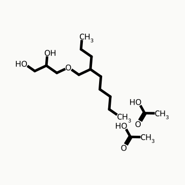 CC(=O)O.CC(=O)O.CCCCCC(CCC)COCC(O)CO